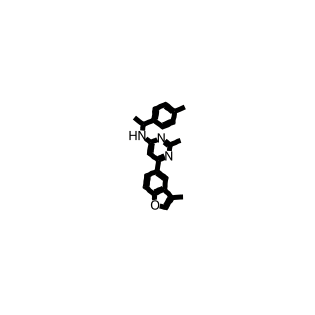 Cc1ccc(C(C)Nc2cc(-c3ccc4occ(C)c4c3)nc(C)n2)cc1